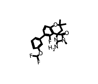 CN1C(=O)C2(CC(C)(C)Oc3ccc(-c4cccc(OC(F)F)c4)c(F)c32)N=C1N